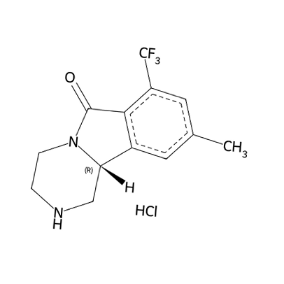 Cc1cc2c(c(C(F)(F)F)c1)C(=O)N1CCNC[C@@H]21.Cl